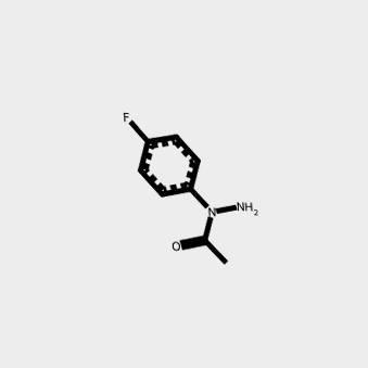 CC(=O)N(N)c1ccc(F)cc1